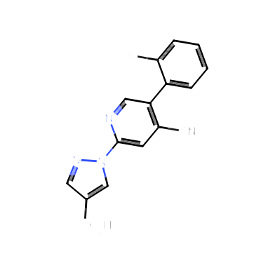 N#Cc1cc(-n2cc(C(=O)O)cn2)ncc1-c1ccccc1C(F)(F)F